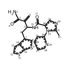 C=C(C(N)=O)C(Cc1csc2sccc12)NC(=O)c1cnc(C)n1-c1ccccn1